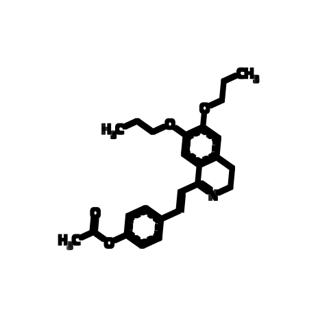 CCCOc1cc2c(cc1OCCC)C(C=Cc1ccc(OC(C)=O)cc1)=NCC2